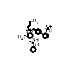 CCCCc1nc2c(C)cc(NC(=O)NC3CCCCC3)cc2n1Cc1ccc(-c2ccccc2OC(=O)O)cc1